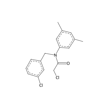 Cc1cc(C)cc(N(Cc2cccc(Cl)c2)C(=O)CCl)c1